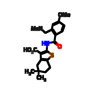 CNCc1cc(OC)ccc1C(=O)Nc1sc2c(c1C(=O)O)CC(C)(C)CC2